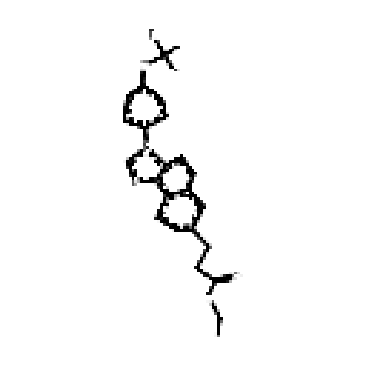 CCOC(=O)CCc1ccc2c(ccc3c2ncn3-c2ccc(OC(F)(F)F)cc2)c1